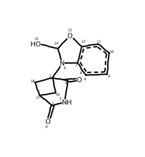 O=C1NC(=O)C2(N3c4ccccc4OC3O)CC1C2